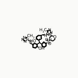 Cc1nnnn1N=Cc1ccc(O)c(C(c2cccc(S(=O)(=O)N3CCOCC3)c2)c2cc(C=Nn3nnnc3C)ccc2O)c1